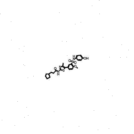 COc1ccc(-c2sc(NC(=O)CCC3CCCC3)nc2C)cc1S(=O)(=O)Nc1ccc(O)cc1